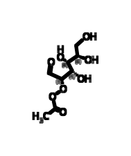 CC(=O)OO[C@H](C=O)[C@@H](O)[C@H](O)[C@H](O)CO